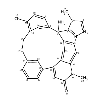 Cn1cnnc1C1(N)c2ccc(Cl)c(c2)COc2cccc(c2)-c2cc(=O)n(C)c3ccc1cc23